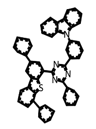 c1ccc(-c2cc(-c3nc(-c4ccccc4)nc(-c4cccc(-n5c6ccccc6c6ccccc65)c4)n3)c3sc4c(-c5ccccc5)cccc4c3c2)cc1